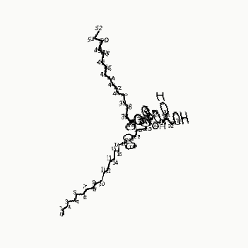 CCCCCCCCCCCCCCCCCCC(=O)OC[C@H](COP(=O)(O)OC[C@@H](O)CO)OC(=O)CCCCCCCCCCCCCCCC